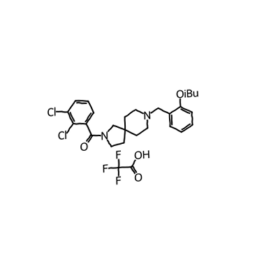 CC(C)COc1ccccc1CN1CCC2(CC1)CCN(C(=O)c1cccc(Cl)c1Cl)C2.O=C(O)C(F)(F)F